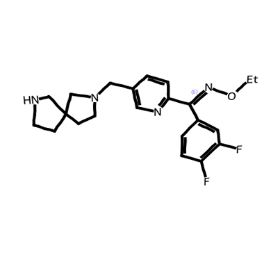 CCO/N=C(\c1ccc(F)c(F)c1)c1ccc(CN2CCC3(CCNC3)C2)cn1